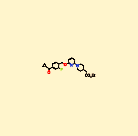 CCOC(=O)CC1CCN(c2cccc(OCc3ccc(C(=O)C4CC4)cc3F)n2)CC1